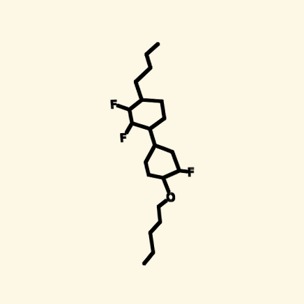 CCCCCOC1CCC(C2CCC(CCCC)C(F)C2F)CC1F